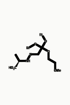 CCOC(C[N]N[C@@H](C)C(=O)O)(OCC)OCCOC